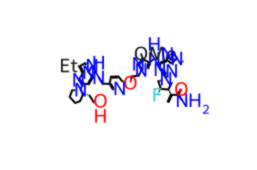 C=C(C(N)=O)[C@@H]1CN(c2nc(Nc3cn(CCOc4ccc(CNc5cc(N6CCCC[C@H]6CCO)nc6c(CC)cnn56)cn4)nc3OC)c3ncn(C)c3n2)C[C@@H]1F